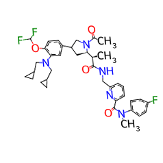 CC(=O)N1CC(c2ccc(OC(F)F)c(N(CC3CC3)CC3CC3)c2)C[C@@H]1[C@@H](C)C(=O)NCc1cccc(C(=O)N(C)c2ccc(F)cc2)n1